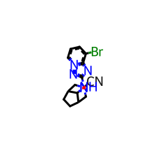 N#CN1CC2CCC(C1)C2Nc1nc2c(Br)cccn2n1